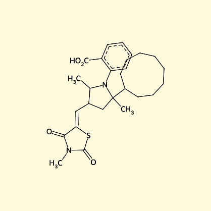 CC1C(/C=C2\SC(=O)N(C)C2=O)CC(C)(C2CCCCCCCC2)N1c1ccccc1C(=O)O